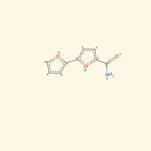 NC(=O)c1ccc(-c2ccco2)o1